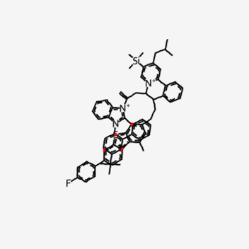 C=C1CC2C(CCc3cc(C)c4c(sc5cc(-c6ccc(F)cc6)ccc54)c3-c3n(-c4ccc(C(C)(C)C)cc4-c4ccccc4)c4ccccc4[n+]31)c1ccccc1-c1cc(CC(C)C)c([Si](C)(C)C)c[n+]12